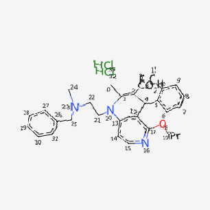 CC1=C(C(=O)O)C(c2ccccc2C(F)(F)F)c2c(ccnc2OC(C)C)N1CCN(C)Cc1ccccc1.Cl.Cl